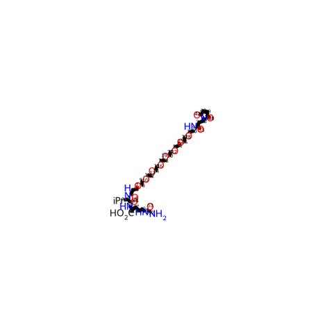 CC(C)C(NC(=O)CCOCCOCCOCCOCCOCCOCCOCCOCCNC(=O)CCN1C(=O)C=CC1=O)C(=O)NC(CCCNC(N)=O)C(=O)O